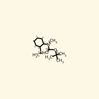 CNC1CCCCC1N(C)C(=O)OC(C)(C)C